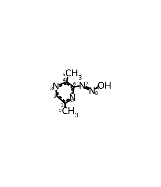 Cc1cnc(C)c(N=NO)n1